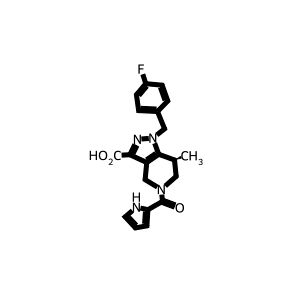 C[C@@H]1CN(C(=O)c2ccc[nH]2)Cc2c(C(=O)O)nn(Cc3ccc(F)cc3)c21